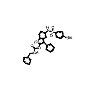 CC(C)(C)c1ccc(S(=O)(=O)Nc2ccc3[nH]c(OC(=O)NCc4ccccc4)c(-c4ccccc4)c3c2)cc1